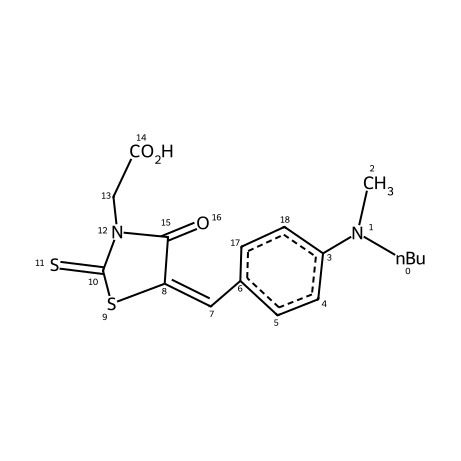 CCCCN(C)c1ccc(C=C2SC(=S)N(CC(=O)O)C2=O)cc1